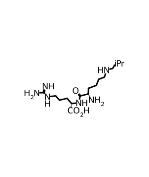 CC(C)CNCCCC[C@H](N)C(=O)N[C@@H](CCCNC(=N)N)C(=O)O